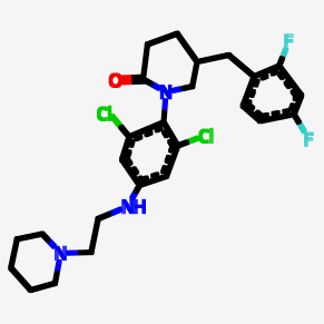 O=C1CCC(Cc2ccc(F)cc2F)CN1c1c(Cl)cc(NCCN2CCCCC2)cc1Cl